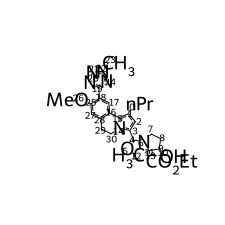 CCCc1cc(C(=O)N2CCC(O)C2(C)C(=O)OCC)n2c1-c1cc(-c3nnn(C)n3)c(OC)cc1CC2